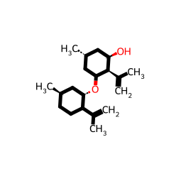 C=C(C)C1CC[C@@H](C)C[C@@H]1OC1C[C@H](C)C[C@@H](O)[C@H]1C(=C)C